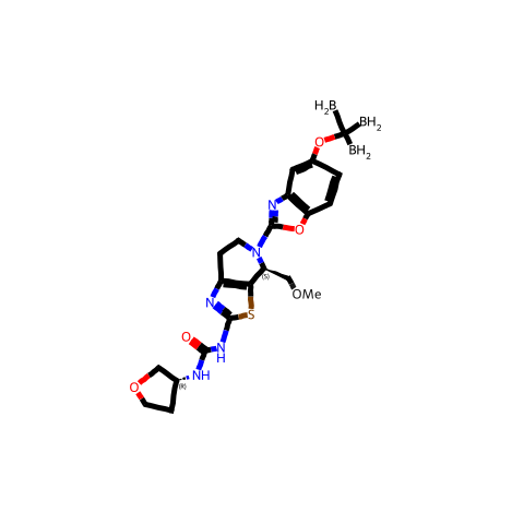 BC(B)(B)Oc1ccc2oc(N3CCc4nc(NC(=O)N[C@@H]5CCOC5)sc4[C@@H]3COC)nc2c1